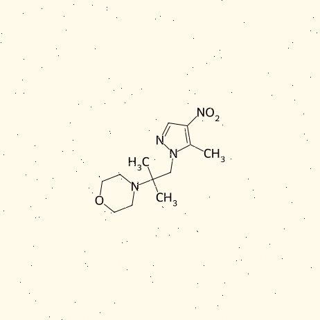 Cc1c([N+](=O)[O-])cnn1CC(C)(C)N1CCOCC1